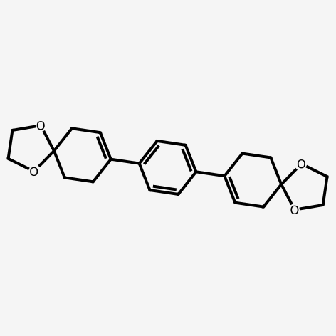 C1=C(c2ccc(C3=CCC4(CC3)OCCO4)cc2)CCC2(C1)OCCO2